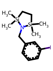 C[Si]1(C)CC[Si](C)(C)N1Cc1cccc(I)c1